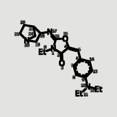 CCN1C(=O)/C(=C\c2ccc(N(CC)CC)cc2)OC1=NC1CN2CCC1C2